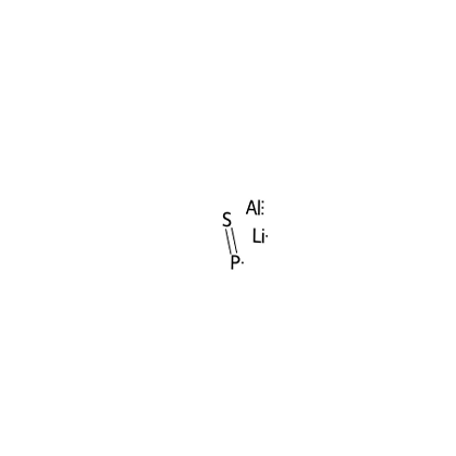 [Al].[Li].[P]=S